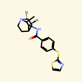 C[C@H]1[C@H](NC(=O)c2ccc(Sc3nccs3)cc2)C2CCN1CC2